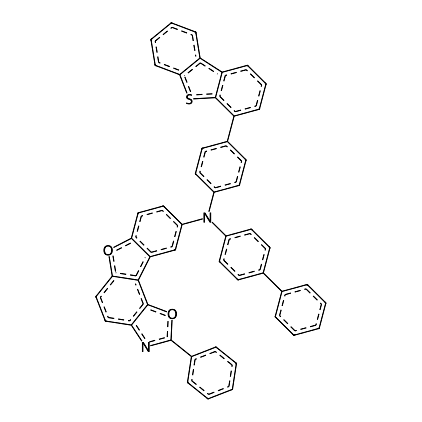 c1ccc(-c2ccc(N(c3ccc(-c4cccc5c4sc4ccccc45)cc3)c3ccc4oc5ccc6nc(-c7ccccc7)oc6c5c4c3)cc2)cc1